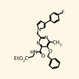 CCOC(=O)CNC(=O)c1nc(Cn2ccc(-c3ccc(F)cc3)c2)nc(C)c1OCc1ccccc1